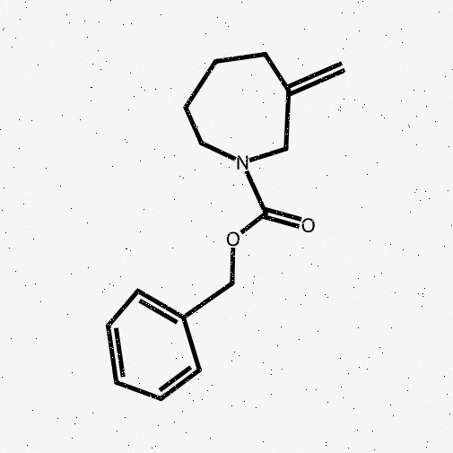 C=C1CCCCN(C(=O)OCc2ccccc2)C1